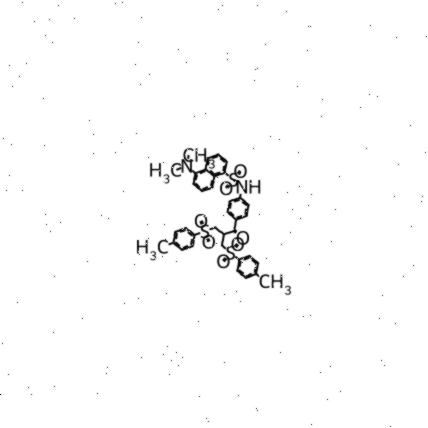 Cc1ccc(S(=O)(=O)CC(CS(=O)(=O)c2ccc(C)cc2)C(=O)c2ccc(NS(=O)(=O)c3cccc4c(N(C)C)cccc34)cc2)cc1